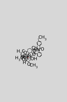 CCc1ccc(C(=O)Nc2ccccc2C(=O)O[C@@]2(C)CC[C@H](OC)C34C2CC(N3C)[C@@]2(O)C[C@H](OC)[C@H]3CC4[C@]2(O)[C@H]3OC)cc1